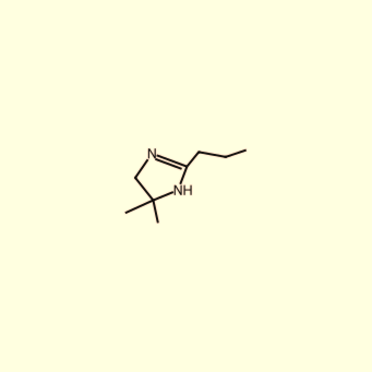 CCCC1=NCC(C)(C)N1